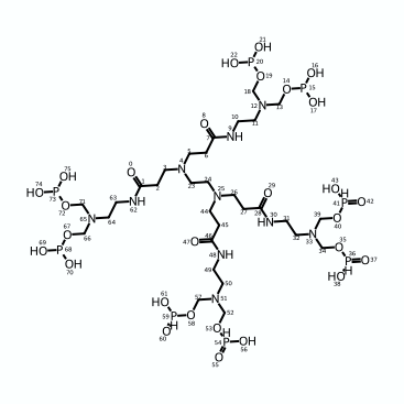 O=C(CCN(CCC(=O)NCCN(COP(O)O)COP(O)O)CCN(CCC(=O)NCCN(CO[PH](=O)O)CO[PH](=O)O)CCC(=O)NCCN(CO[PH](=O)O)CO[PH](=O)O)NCCN(COP(O)O)COP(O)O